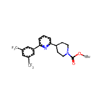 CC(C)(C)OC(=O)N1CCC(c2cccc(-c3cc(C(F)(F)F)cc(C(F)(F)F)c3)n2)CC1